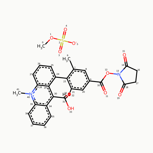 COS(=O)(=O)[O-].Cc1cc(C(=O)ON2C(=O)CCC2=O)cc(C)c1-c1cccc2c1c(C(=O)O)c1ccccc1[n+]2C